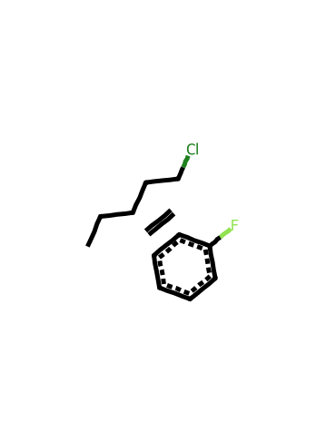 C=C.CCCCCCl.Fc1ccccc1